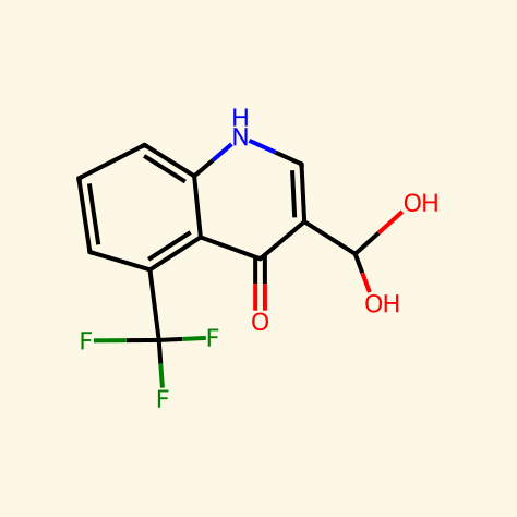 O=c1c(C(O)O)c[nH]c2cccc(C(F)(F)F)c12